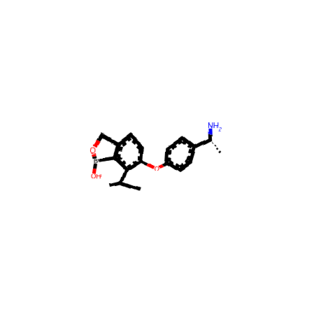 CC(C)c1c(Oc2ccc([C@@H](C)N)cc2)ccc2c1B(O)OC2